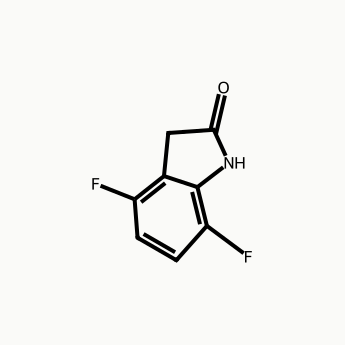 O=C1Cc2c(F)ccc(F)c2N1